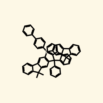 CC1(C)c2ccccc2-c2ccc(N(c3ccc(-c4ccccc4)cc3)c3cc4c(cc3C3(c5ccccc5)c5ccccc5-c5ccccc53)C(C)(C)c3ccccc3-4)cc21